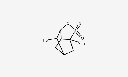 CC12CC3CC1C(OS2(=O)=O)C3S